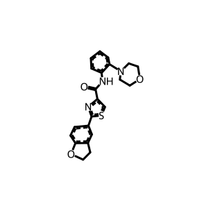 O=C(Nc1ccccc1N1CCOCC1)c1csc(-c2ccc3c(c2)CCO3)n1